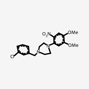 COc1cc(N2CCN(Cc3cccc(Cl)c3)CC2)c([N+](=O)[O-])cc1OC